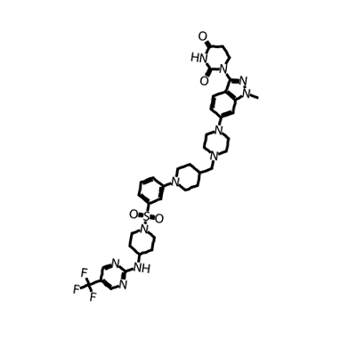 Cn1nc(N2CCC(=O)NC2=O)c2ccc(N3CCN(CC4CCN(c5cccc(S(=O)(=O)N6CCC(Nc7ncc(C(F)(F)F)cn7)CC6)c5)CC4)CC3)cc21